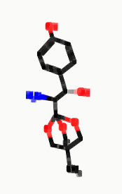 CC12COC([C@@H](N)[C@@H](O)c3ccc(O)cc3)(OC1)OC2